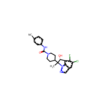 CC1(C2CCN(C(=O)Nc3ccc(C#N)cc3)CC2)[C@H](O)c2c(F)c(Cl)cc3cnn1c23